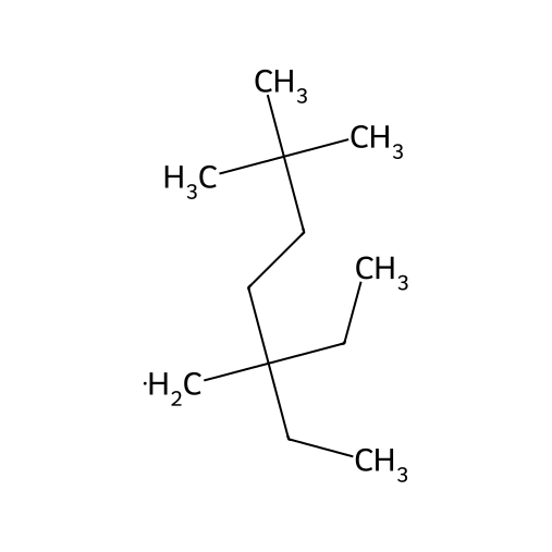 [CH2]C(CC)(CC)CCC(C)(C)C